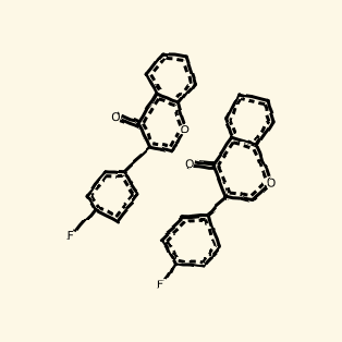 O=c1c(-c2ccc(F)cc2)coc2ccccc12.O=c1c(-c2ccc(F)cc2)coc2ccccc12